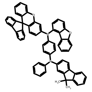 CC1(C)c2ccccc2-c2ccc(N(c3ccccc3)c3ccc(N(c4ccc5c(c4)Oc4ccccc4C54c5ccccc5-c5ccccc54)c4cccc5oc6ccccc6c45)cc3)cc21